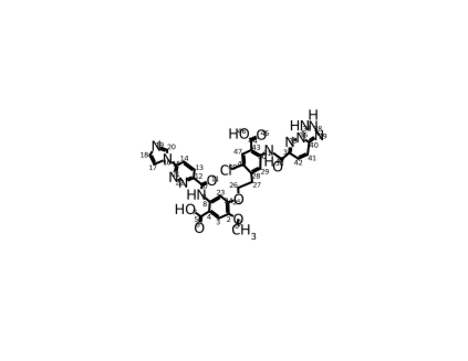 COc1cc(C(=O)O)c(NC(=O)c2ccc(-n3ccnc3)nn2)cc1OCCc1cc(NC(=O)C2=NN3NNN=C3C=C2)c(C(=O)O)cc1Cl